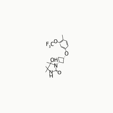 Cc1ccc(O[C@H]2C[C@@H](N3C(=O)NC(C)(C)C3(C)O)C2)cc1OC(F)(F)F